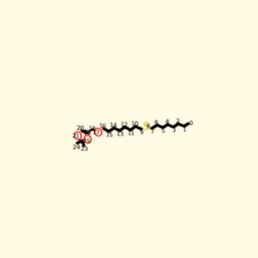 CCCCCCCCSCCCCCCCCOC[C@@H]1COC(C)(C)O1